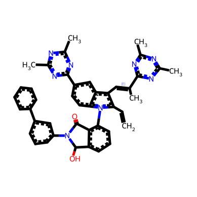 C=Cc1c(/C=C(\C)c2nc(C)nc(C)n2)c2cc(-c3nc(C)nc(C)n3)ccc2n1-c1cccc2c1C(=O)N(c1cccc(-c3ccccc3)c1)C2O